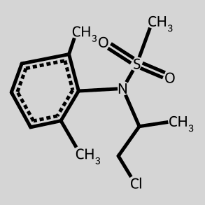 Cc1cccc(C)c1N(C(C)CCl)S(C)(=O)=O